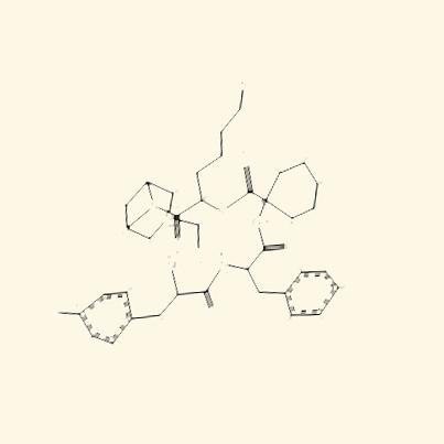 NCCCCC(NC(=O)C1(NC(=O)C(Cc2ccccc2)NC(=O)C(N)Cc2ccc(O)cc2)CCCCC1)C(=O)N1C2CC1CN(CC(=O)O)C2